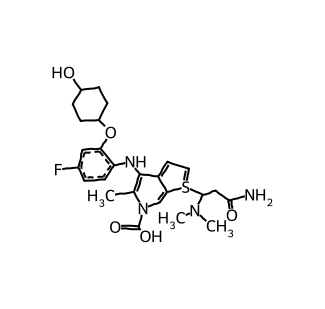 CC1=C(Nc2ccc(F)cc2OC2CCC(O)CC2)C2=CC=S(C(CC(N)=O)N(C)C)C2=CN1C(=O)O